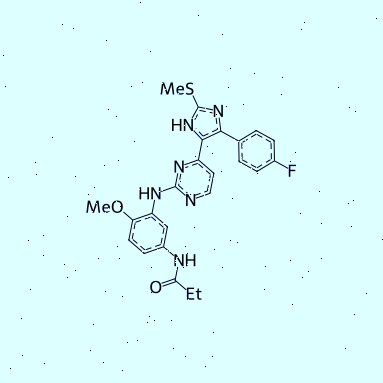 CCC(=O)Nc1ccc(OC)c(Nc2nccc(-c3[nH]c(SC)nc3-c3ccc(F)cc3)n2)c1